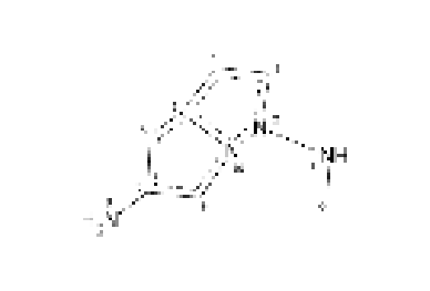 CNn1ccc2cc(N)cn21